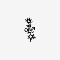 O=C1CC(c2ccc(F)c(F)c2)CC(=O)N1C12CC(c3ccncc3)(C1)C2